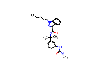 CCCCCn1nc(C(=O)NC(C)(C)c2cccc(NC(=O)NC)c2)c2ccccc21